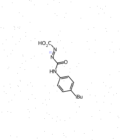 CCC(C)c1ccc(NC(=O)/N=N/C(=O)O)cc1